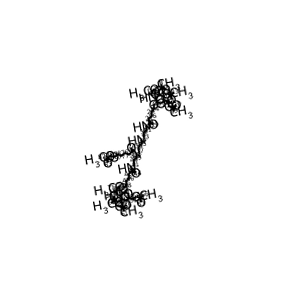 CC(=O)NC1C(OC(C)=O)[C@@H](OC(C)=O)C(COC(C)=O)O[C@H]1OCCCCC(=O)NCCCNCCCN(CCCNC(=O)CCCCO[C@@H]1OC(COC(C)=O)[C@H](OC(C)=O)C(OC(C)=O)C1NC(C)=O)C(=O)CCCCOOC(C)=O